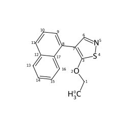 CCOc1sn[c]c1-c1cccc2ccccc12